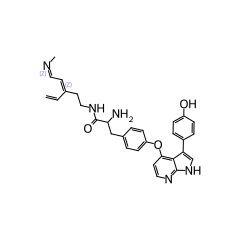 C=C/C(=C\C=N/C)CCNC(=O)C(N)Cc1ccc(Oc2ccnc3[nH]cc(-c4ccc(O)cc4)c23)cc1